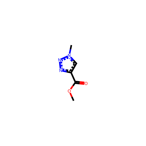 COC(=O)c1cn(C)nn1